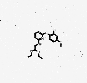 CCOC(CNc1cccc(Oc2ccc(OC)cc2Cl)n1)OCC